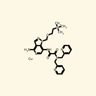 C[Si](C)(C)CCOCn1ncc2c(N)ncc(NC(=O)C(=O)N(Cc3ccccn3)Cc3ccccn3)c21.[Cu]